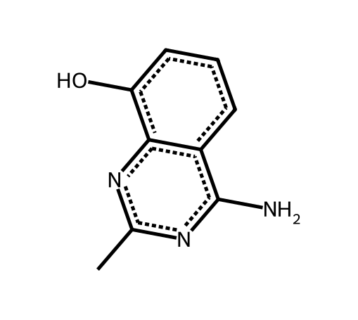 Cc1nc(N)c2cccc(O)c2n1